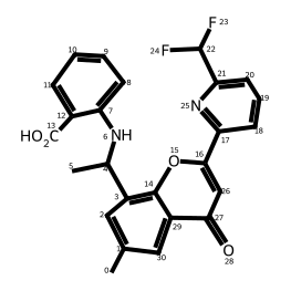 Cc1cc(C(C)Nc2ccccc2C(=O)O)c2oc(-c3cccc(C(F)F)n3)cc(=O)c2c1